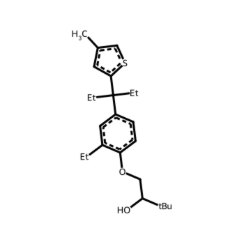 CCc1cc(C(CC)(CC)c2cc(C)cs2)ccc1OCC(O)C(C)(C)C